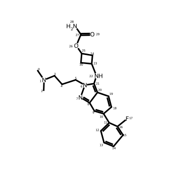 CN(C)CCCn1nc2cc(-c3ccccc3F)ccc2c1NC1CC(OC(N)=O)C1